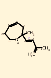 C=C(C)/C=C/C1(C)CC=CCCO1